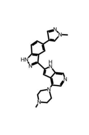 CN1CCN(c2cncc3[nH]c(-c4n[nH]c5ccc(-c6cnn(C)c6)cc45)cc23)CC1